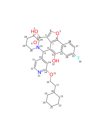 O=C(O)c1coc2c1c(C(c1ccnc(OCCC3CCCCC3)c1)N1CCCCC1)c(O)c1cc(F)ccc12